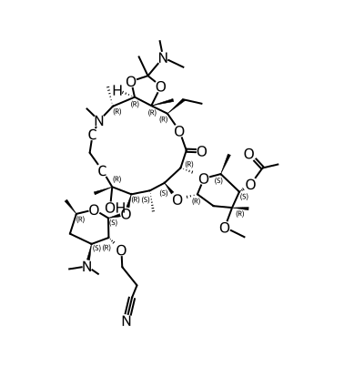 CC[C@H]1OC(=O)[C@H](C)[C@@H](O[C@H]2C[C@@](C)(OC)[C@@H](OC(C)=O)[C@H](C)O2)[C@H](C)[C@@H](O[C@@H]2O[C@H](C)C[C@H](N(C)C)[C@H]2OCCC#N)[C@](C)(O)CCCN(C)[C@H](C)[C@H]2OC(C)(N(C)C)O[C@@]21C